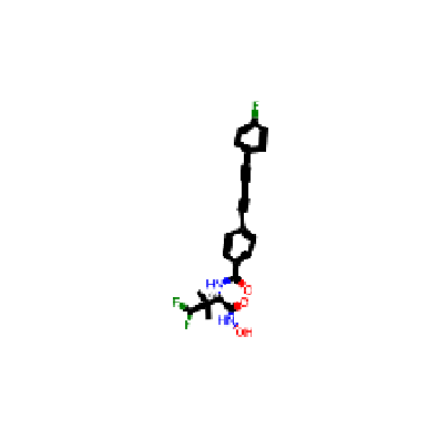 CC(C)(C(F)F)[C@H](NC(=O)c1ccc(C#CC#Cc2ccc(F)cc2)cc1)C(=O)NO